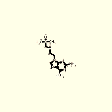 Cc1nc(N)nc2c1ncn2CCOCP(C)(C)=O